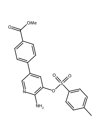 COC(=O)c1ccc(-c2cnc(N)c(OS(=O)(=O)c3ccc(C)cc3)c2)cc1